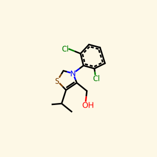 CC(C)C1=C(CO)N(c2c(Cl)cccc2Cl)CS1